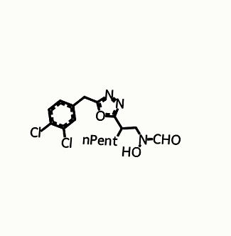 CCCCCC(CN(O)C=O)c1nnc(Cc2ccc(Cl)c(Cl)c2)o1